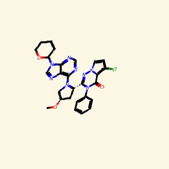 CO[C@@H]1C[C@@H](c2nn3ccc(Cl)c3c(=O)n2-c2ccccc2)N(c2ncnc3c2ncn3C2CCCCO2)C1